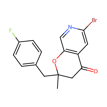 CC1(Cc2ccc(F)cc2)CC(=O)c2cc(Br)ncc2O1